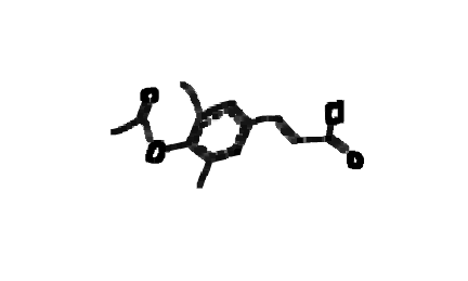 CC(=O)Oc1c(C)cc(/C=C/C(=O)Cl)cc1C